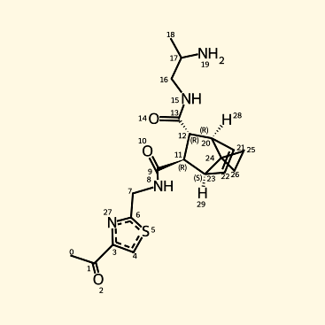 CC(=O)c1csc(CNC(=O)[C@H]2[C@H](C(=O)NCC(C)N)[C@H]3C=C[C@@H]2C32CC2)n1